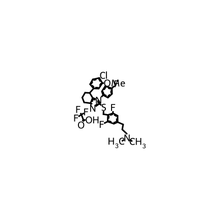 COc1cc(C2CCCc3nc(SCc4c(F)cc(CCCN(C)C)cc4F)n(-c4ccc(F)cc4)c32)ccc1Cl.O=C(O)C(F)(F)F